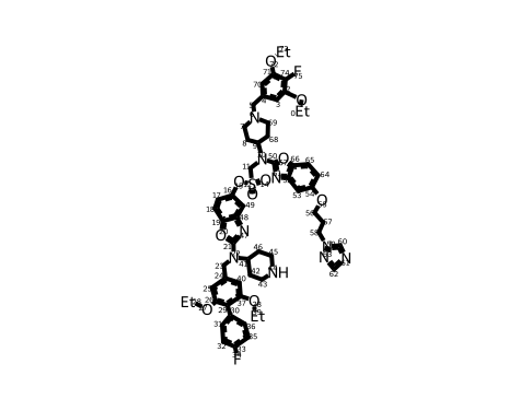 CCOc1cc(CN2CCC(N(CS(=O)(=O)Oc3ccc4oc(N(Cc5cc(OCC)c(-c6ccc(F)cc6)c(OCC)c5)C5CCNCC5)nc4c3)c3nc4cc(OCCCn5cncn5)ccc4o3)CC2)cc(OCC)c1F